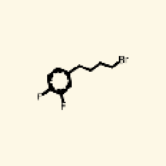 Fc1ccc(CCCCBr)cc1F